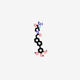 CNC(=O)C1(F)CCN(C(=O)Cc2ccc3cc(-c4cc(OC)c(OC)c(OC)c4)ccc3c2)C1